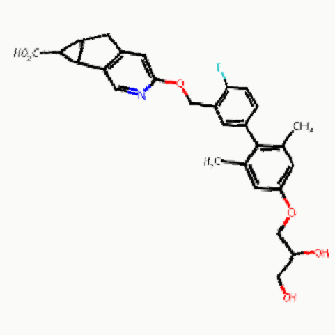 Cc1cc(OCC(O)CO)cc(C)c1-c1ccc(F)c(COc2cc3c(cn2)C2C(C3)C2C(=O)O)c1